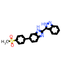 CS(=O)(=O)c1ccc(-c2ccc3nc(-c4[nH]nc5ccccc45)[nH]c3c2)cc1